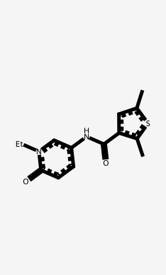 CCn1cc(NC(=O)c2cc(C)sc2C)ccc1=O